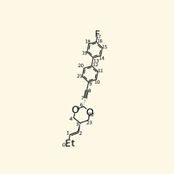 CCC=C[C@H]1CO[C@H](C#Cc2ccc(-c3ccc(F)cc3)cc2)OC1